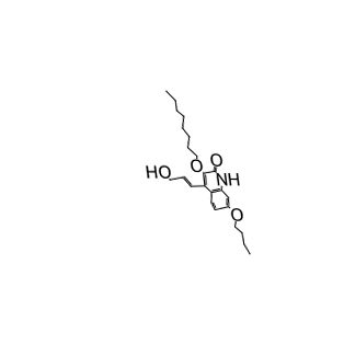 CCCCCCCCOc1c(C=CCO)c2ccc(OCCCC)cc2[nH]c1=O